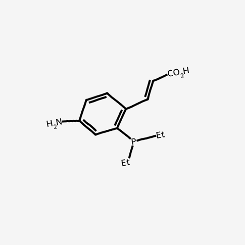 CCP(CC)c1cc(N)ccc1C=CC(=O)O